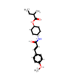 CCC(C)C(=O)O[C@H]1CC[C@H](NC(=O)/C=C/c2ccc(OC)cc2)CC1